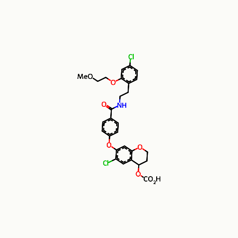 COCCOc1cc(Cl)ccc1CCNC(=O)c1ccc(Oc2cc3c(cc2Cl)C(OC(=O)O)CCO3)cc1